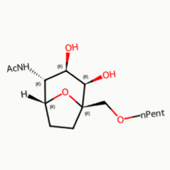 CCCCCOC[C@@]12CC[C@@H](O1)[C@H](NC(C)=O)[C@@H](O)[C@H]2O